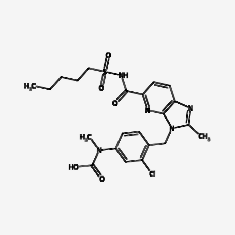 CCCCCS(=O)(=O)NC(=O)c1ccc2nc(C)n(Cc3ccc(N(C)C(=O)O)cc3Cl)c2n1